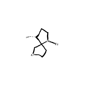 CCN1CC[C@@H](C)C12CCOC2